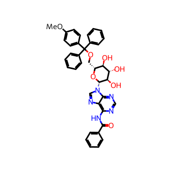 COc1ccc(C(OC[C@H]2O[C@@H](n3cnc4c(NC(=O)c5ccccc5)ncnc43)[C@H](O)[C@@H](O)[C@@H]2O)(c2ccccc2)c2ccccc2)cc1